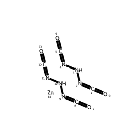 O=C=NNN=C=O.O=C=NNN=C=O.[Zn]